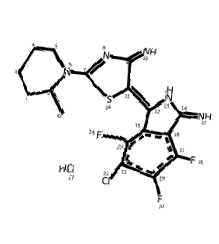 CC1CCCCN1C1=NC(=N)/C(=C2\NC(=N)c3c(F)c(F)c(Cl)c(F)c32)S1.Cl